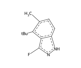 Cc1ccc2[nH]nc(F)c2c1C(C)(C)C